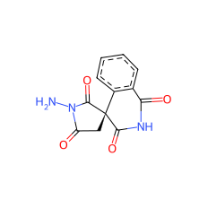 NN1C(=O)C[C@@]2(C(=O)NC(=O)c3ccccc32)C1=O